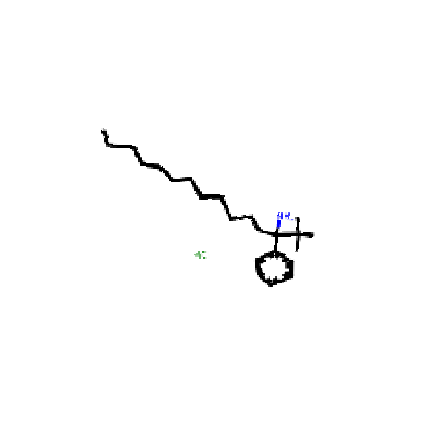 CCCCCCCCCCCCC(N)(c1ccccc1)C(C)(C)C.Cl